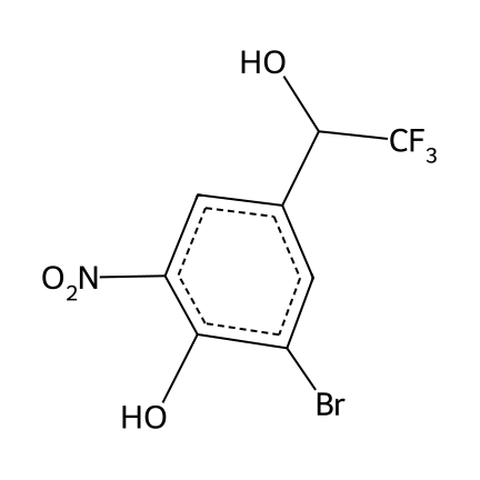 O=[N+]([O-])c1cc(C(O)C(F)(F)F)cc(Br)c1O